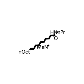 CCCCCCCCC=CCCCCCCCC(=O)NCCC.CNC